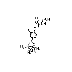 CC(C)NC(=O)COc1ccc(B2OC(C)(C)C(C)(C)O2)cc1F